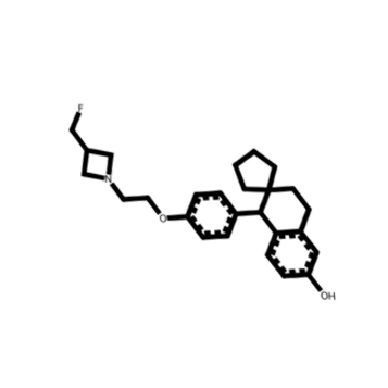 Oc1ccc2c(c1)CCC1(CCCC1)C2c1ccc(OCCN2CC(CF)C2)cc1